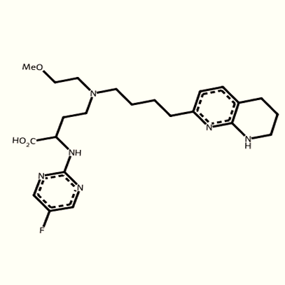 COCCN(CCCCc1ccc2c(n1)NCCC2)CCC(Nc1ncc(F)cn1)C(=O)O